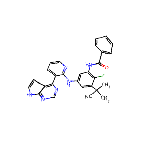 CC(C)(C#N)c1cc(Nc2ncccc2-c2ncnc3[nH]ccc23)cc(NC(=O)c2ccccc2)c1F